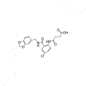 O=C(O)CCC(=O)Nc1ccc(Cl)cc1C(=O)NCc1ccc2c(c1)OCO2